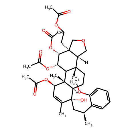 COc1ccccc1[C@@H](C)C[C@@]1(O)C(C)=C[C@@H](OC(C)=O)[C@]2(C)C3[C@H](OC(C)=O)[C@H](OC(C)=O)[C@@]4(CCOC(C)=O)COC[C@H]4[C@]3(C)CC[C@H]21